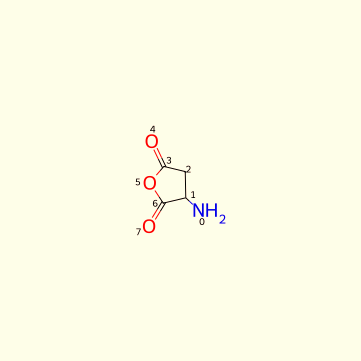 NC1CC(=O)OC1=O